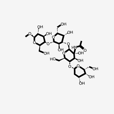 CO[C@@H]1O[C@H](CO)[C@@H](O[C@@H]2O[C@H](CO)[C@H](O)[C@H](O[C@@H]3O[C@H](CO)[C@@H](O[C@H]4C[C@@H](O)[C@@H](O)[C@@H](CO)O4)[C@H](O)[C@]3(O)NC(C)=O)[C@H]2O)[C@H](O)[C@H]1O